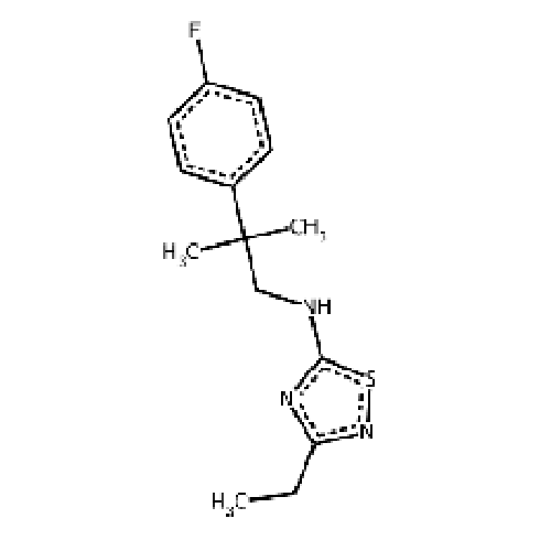 CCc1nsc(NCC(C)(C)c2ccc(F)cc2)n1